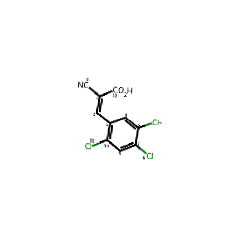 N#CC(=Cc1cc(Cl)c(Cl)cc1Cl)C(=O)O